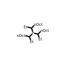 CCCCCCCCC(CC)P(C(CC)CCCCCCCC)C(CC)CCCCCCCC